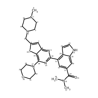 CN1CCN(Cc2cc3nc(-c4cc(C(=O)N(C)C)cc5[nH]ccc45)nc(N4CCOCC4)c3s2)CC1